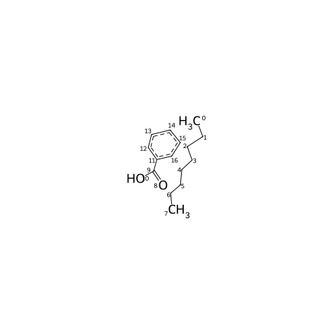 CCCCCCCC.O=C(O)c1ccccc1